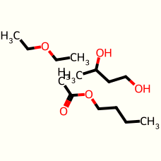 CC(O)CCO.CCCCOC(C)=O.CCOCC